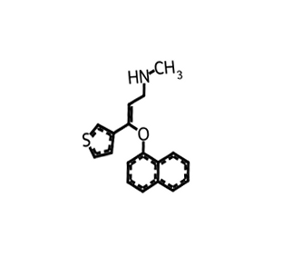 CNC/C=C(\Oc1cccc2ccccc12)c1ccsc1